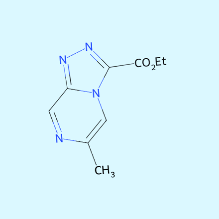 CCOC(=O)c1nnc2cnc(C)cn12